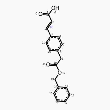 O=C(O)/C=C/c1ccc(CC(=O)OCc2ccccc2)cc1